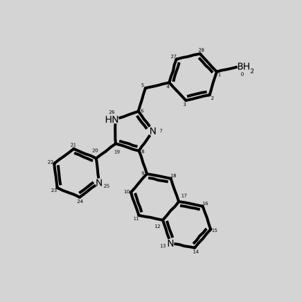 Bc1ccc(Cc2nc(-c3ccc4ncccc4c3)c(-c3ccccn3)[nH]2)cc1